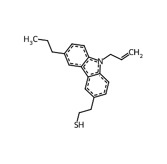 C=CCn1c2ccc(CCC)cc2c2cc(CCS)ccc21